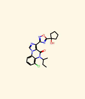 CCC(C)n1c(=O)c2c(-c3noc(C4(O)CCCC4)n3)ncn2c2cccc(Cl)c21